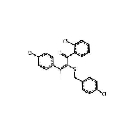 O=C(C(SCc1ccc(Cl)cc1)=C(I)c1ccc(Cl)cc1)c1ccccc1Cl